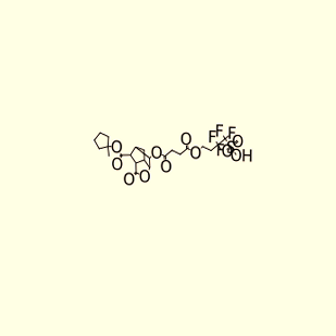 CC1(OC(=O)C2C3CC4C(OC(=O)C42)C3OC(=O)CCC(=O)OCCC(F)(F)C(F)(F)S(=O)(=O)O)CCCC1